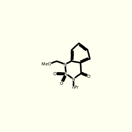 CCCN1C(=O)c2ccccc2N(COC)S1(=O)=O